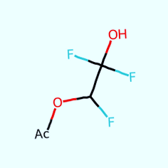 CC(=O)OC(F)C(O)(F)F